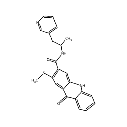 CSc1cc2c(=O)c3ccccc3[nH]c2cc1C(=O)NC(C)Cc1cccnc1